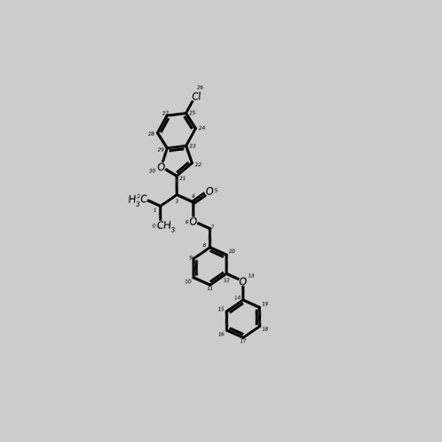 CC(C)C(C(=O)OCc1cccc(Oc2ccccc2)c1)c1cc2cc(Cl)ccc2o1